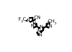 Cn1cc(-c2cc3nccn3c(-c3cnn(C4(CC#N)CCN(CC(F)(F)F)C4)c3)n2)cn1